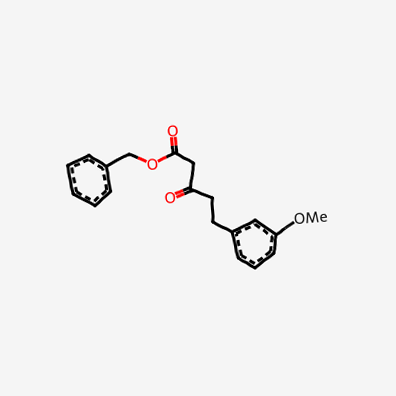 COc1cccc(CCC(=O)CC(=O)OCc2ccccc2)c1